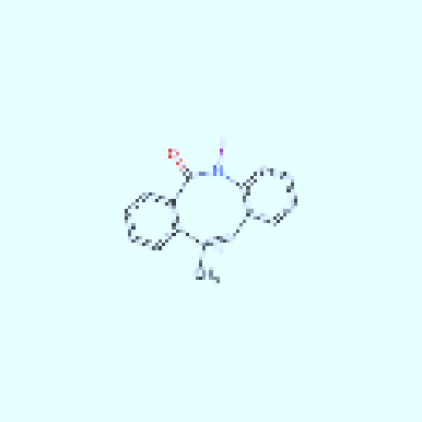 C/C1=C/c2ccccc2N(I)C(=O)c2ccccc21